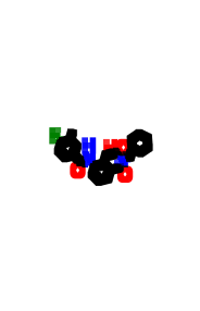 Cc1cc(C(=O)Nc2cccc3c(=O)n(CC4(O)CCCCC4)ccc23)ccc1F